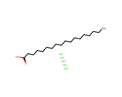 CCCCCCCCCCCCCCCCCC(=O)O.Cl.Cl.Cl.Cl.Cl